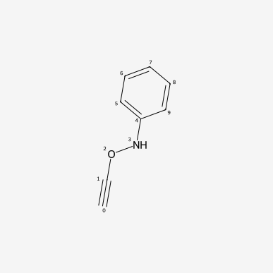 C#CONc1ccccc1